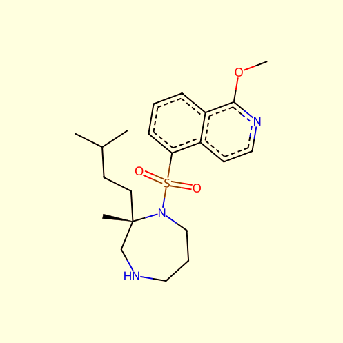 COc1nccc2c(S(=O)(=O)N3CCCNC[C@]3(C)CCC(C)C)cccc12